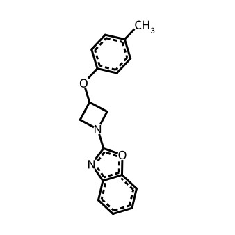 Cc1ccc(OC2CN(c3nc4ccccc4o3)C2)cc1